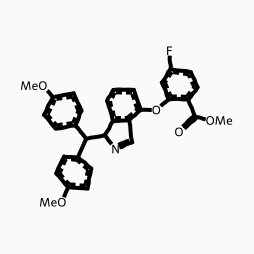 COC(=O)c1ccc(F)cc1Oc1cccc2c1C=NC2C(c1ccc(OC)cc1)c1ccc(OC)cc1